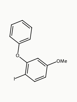 COc1ccc(I)c(Oc2ccccc2)c1